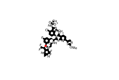 COc1ncc(-c2ccc3c(=O)n(-c4ccc(Cl)c5c(NS(C)(=O)=O)nn(C)c45)c([C@H](Cc4cc(F)cc(F)c4)NC(=O)Cn4nc(C(F)F)c5c4C(F)(F)[C@@H]4C[C@H]54)nc3n2)s1